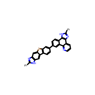 CC(C)c1nc2cc3sc4cc(-c5ccc6c(c5)c5ncccc5c5nc(C(C)C)[nH]c65)ccc4c3cc2[nH]1